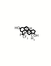 C[C@]12CC[C@H]3[C@@H](CC=C4C[C@@H](O)CC(C(F)(F)C(F)(F)F)[C@@]43C)[C@@H]1CC[C@@H]2O